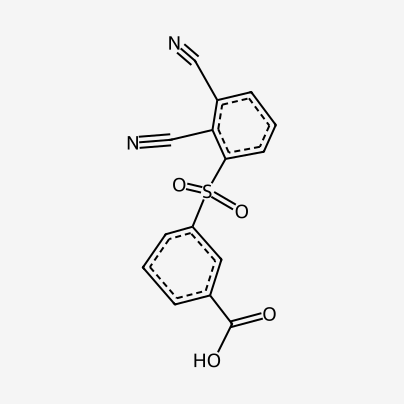 N#Cc1cccc(S(=O)(=O)c2cccc(C(=O)O)c2)c1C#N